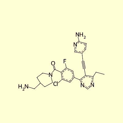 CCc1ncnc(-c2cc(F)c(C(=O)N3CCC(CN)CC3)c(Cl)c2)c1C#Cc1ccc(N)nc1